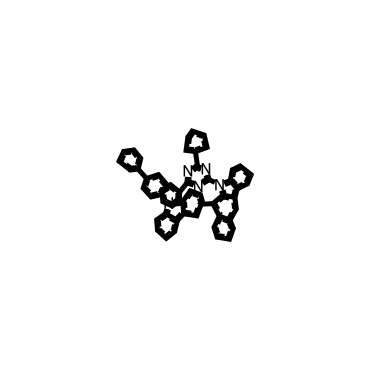 c1ccc(-c2ccc(-n3c4ccccc4c4cc(-c5c6ccccc6cc6c7ccccc7n(-c7nc(-c8ccccc8)nc(-c8ccccc8)n7)c56)ccc43)cc2)cc1